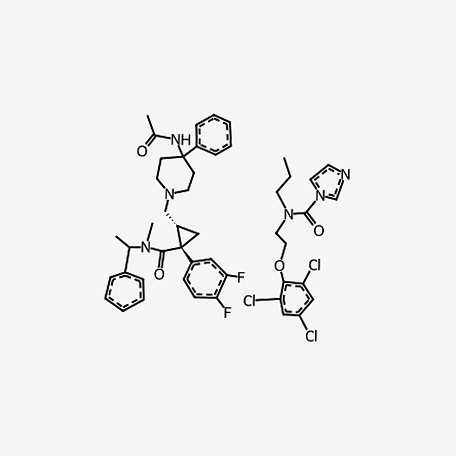 CC(=O)NC1(c2ccccc2)CCN(C[C@@H]2C[C@@]2(C(=O)N(C)C(C)c2ccccc2)c2ccc(F)c(F)c2)CC1.CCCN(CCOc1c(Cl)cc(Cl)cc1Cl)C(=O)n1ccnc1